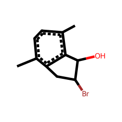 Cc1ccc(C)c2c1CC(Br)C2O